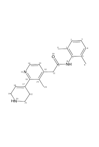 Cc1cccc(C)c1NC(=O)Cc1ccnc(C2=CCNCC2)c1C